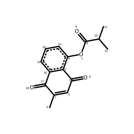 CC1=CC(=O)c2c(OC(=O)C(C)C)cccc2C1=O